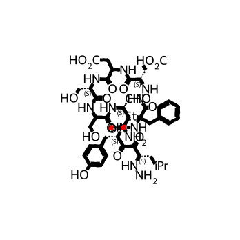 CCC(Cc1ccccc1)(NN[C@@H](Cc1ccc(O)cc1)C(=O)C(=O)[C@H](CC(C)C)NN)C(=O)NN[C@@H](CC(=O)O)C(=O)NC(CC(=O)O)C(=O)N[C@@H](CO)C(=O)NC(CO)C(=O)N[C@H](C=O)CC(N)=O